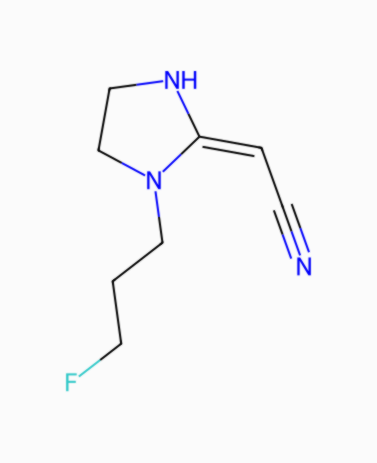 N#CC=C1NCCN1CCCF